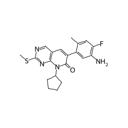 CSc1ncc2cc(-c3cc(N)c(F)cc3C)c(=O)n(C3CCCC3)c2n1